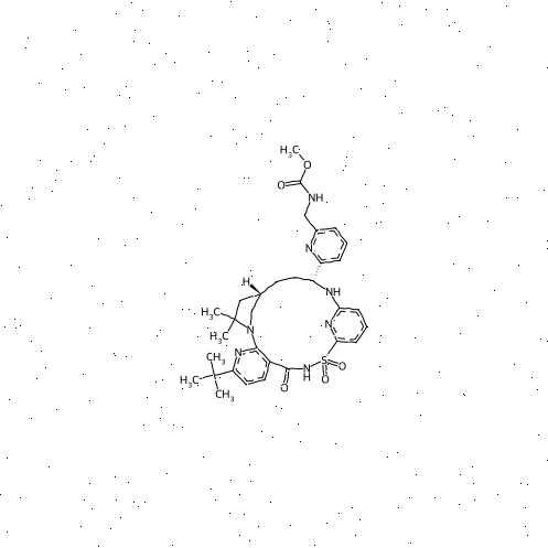 COC(=O)NCc1cccc([C@H]2CC[C@@H]3CN(c4nc(C(C)(C)C)ccc4C(=O)NS(=O)(=O)c4cccc(n4)N2)C(C)(C)C3)n1